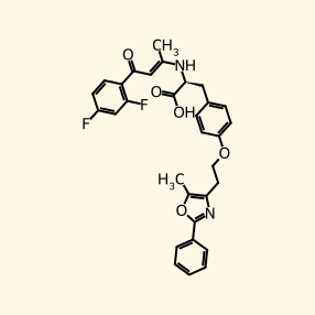 C/C(=C\C(=O)c1ccc(F)cc1F)N[C@@H](Cc1ccc(OCCc2nc(-c3ccccc3)oc2C)cc1)C(=O)O